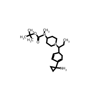 CCC(C1C=CC(C2(N)CC2)=CC1)N1CCC(N(C)C(=O)OC(C)(C)C)CC1